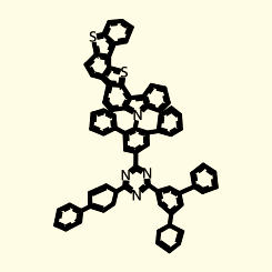 C1=CCC(c2cc(-c3ccccc3)cc(-c3nc(-c4cc(-c5ccccc5)c(-n5c6ccccc6c6c7sc8c(ccc9sc%10ccccc%10c98)c7ccc65)c(-c5ccccc5)c4)nc(C4C=CC(c5ccccc5)=CC4)n3)c2)C=C1